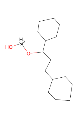 O[SiH2]OC(CCC1CCCCC1)C1CCCCC1